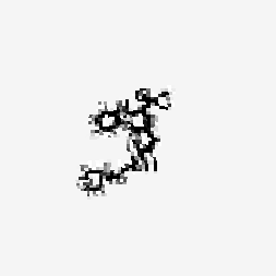 COC(=O)c1cc2ccc(NCCN3CCOCC3)nc2n2c1nc1ccccc12